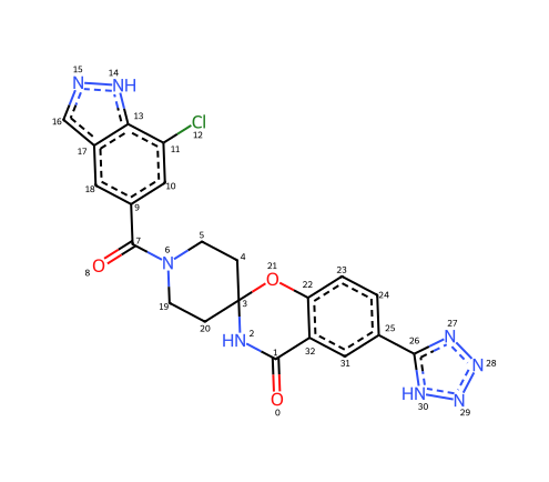 O=C1NC2(CCN(C(=O)c3cc(Cl)c4[nH]ncc4c3)CC2)Oc2ccc(-c3nnn[nH]3)cc21